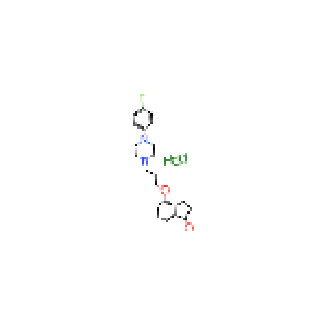 Cl.Cl.O=C1CCc2c(OCCCN3CCN(c4ccc(F)cc4)CC3)cccc21